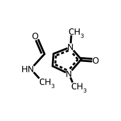 CNC=O.Cn1ccn(C)c1=O